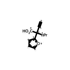 C#CC(CCC)(C(=O)O)c1ccco1